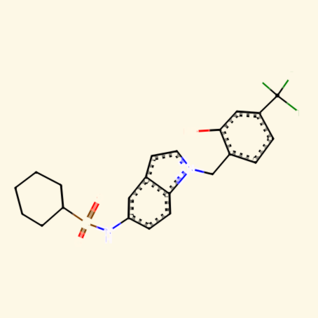 O=S(=O)(Nc1ccc2c(ccn2Cc2ccc(C(F)(F)F)cc2O)c1)C1CCCCC1